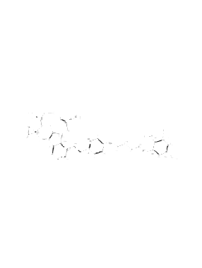 Cc1c(CC2(CC(=O)O)CC2)c2cccc(C=Cc3ccc(OCCCCOc4cc(F)cc(F)c4Cl)cc3)c2n1CC(=O)O